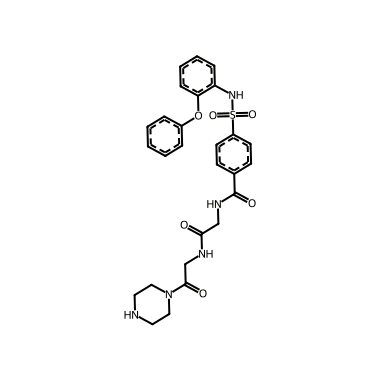 O=C(CNC(=O)c1ccc(S(=O)(=O)Nc2ccccc2Oc2ccccc2)cc1)NCC(=O)N1CCNCC1